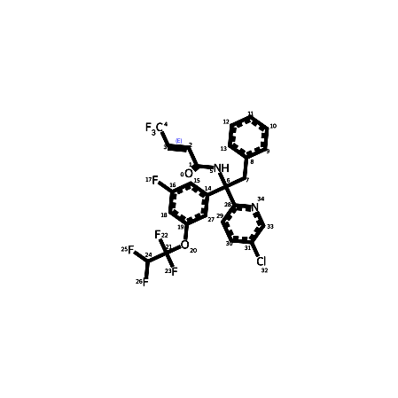 O=C(/C=C/C(F)(F)F)NC(Cc1ccccc1)(c1cc(F)cc(OC(F)(F)C(F)F)c1)c1ccc(Cl)cn1